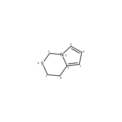 c1cc2n(c1)CSCC2